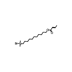 CC=CC(=O)OCCCCCCCCCCC[Si](C)(C)Br